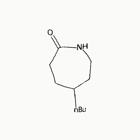 CCCCC1CCNC(=O)CC1